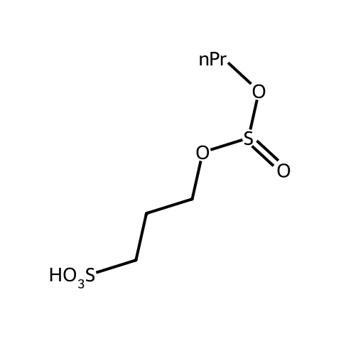 CCCOS(=O)OCCCS(=O)(=O)O